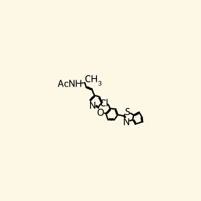 CC(=O)N[C@@H](C)/C=C/c1ccc(Oc2ccc(-c3nc4ccccc4s3)cc2Cl)nc1